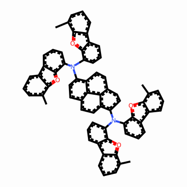 Cc1cccc2c1oc1c(N(c3ccc4ccc5c(N(c6cccc7c6oc6c(C)cccc67)c6cccc7c6oc6c(C)cccc67)ccc6ccc3c4c65)c3cccc4c3oc3c(C)cccc34)cccc12